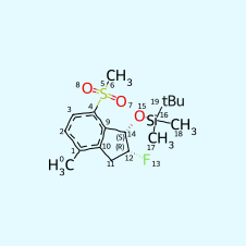 Cc1ccc(S(C)(=O)=O)c2c1C[C@@H](F)[C@H]2O[Si](C)(C)C(C)(C)C